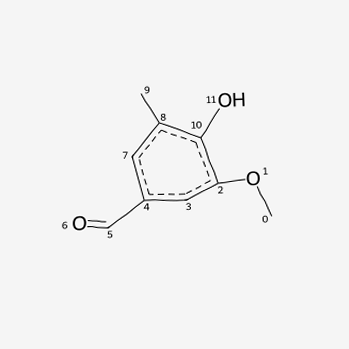 COc1cc(C=O)cc(C)c1O